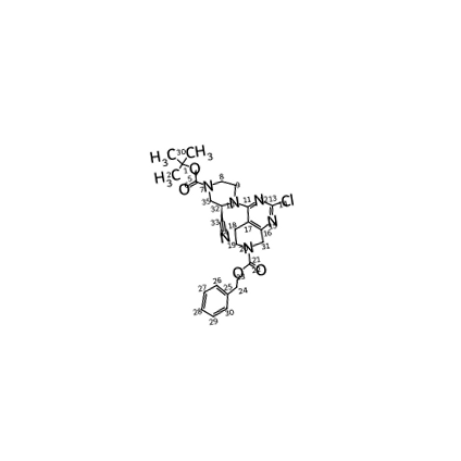 CC(C)(C)OC(=O)N1CCN(c2nc(Cl)nc3c2CCN(C(=O)OCc2ccccc2)C3)[C@@H](C#N)C1